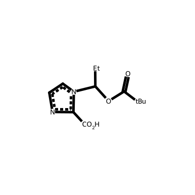 CCC(OC(=O)C(C)(C)C)n1ccnc1C(=O)O